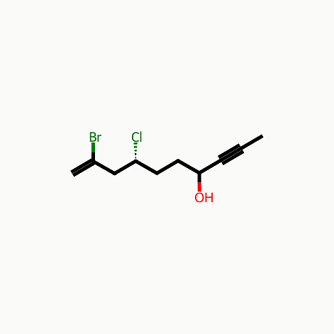 C=C(Br)C[C@H](Cl)CCC(O)C#CC